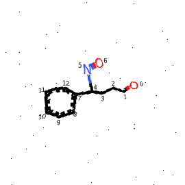 O=CCCC(N=O)c1ccccc1